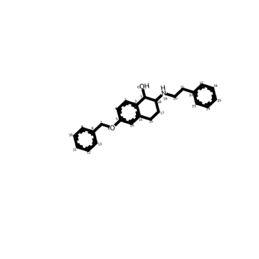 OC1c2ccc(OCc3ccccc3)cc2CCC1NCCc1ccccc1